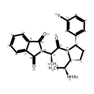 CC(=O)N[C@@H](C)[C@H]1CC[C@@H](c2cccc(F)c2)N1C(=O)[C@@H](C)N1C(=O)c2ccccc2C1=O